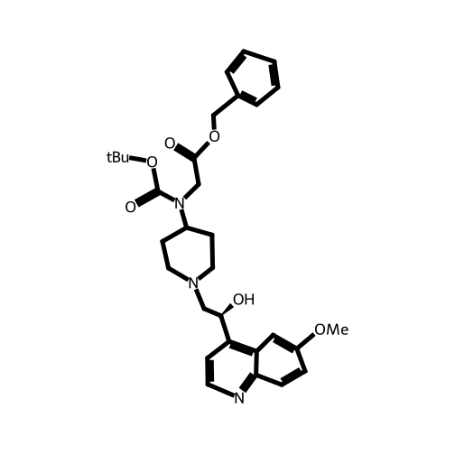 COc1ccc2nccc([C@H](O)CN3CCC(N(CC(=O)OCc4ccccc4)C(=O)OC(C)(C)C)CC3)c2c1